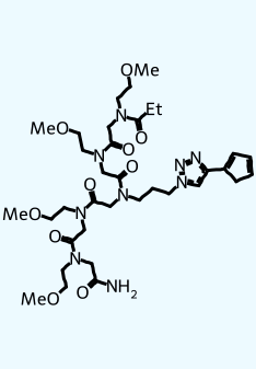 CCC(=O)N(CCOC)CC(=O)N(CCOC)CC(=O)N(CCCn1cc(C2=CC=CC2)nn1)CC(=O)N(CCOC)CC(=O)N(CCOC)CC(N)=O